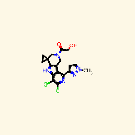 Cn1ccc(-c2nc(Cl)c(Cl)c3[nH]c4c(c23)CN(C(=O)CO)CC42CC2)n1